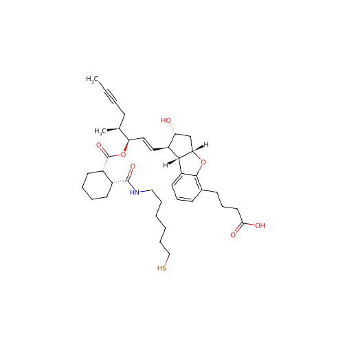 CC#CC[C@H](C)[C@@H](/C=C/[C@@H]1[C@H]2c3cccc(CCCC(=O)O)c3O[C@H]2C[C@H]1O)OC(=O)[C@H]1CCCC[C@H]1C(=O)NCCCCCCS